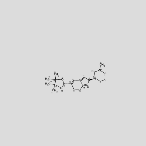 CN1CCC[C@@H](n2cc3cc(B4OC(C)(C)C(C)(C)O4)ccc3n2)C1